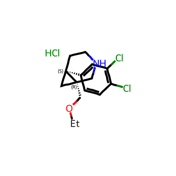 CCOC[C@@]12CNCC[C@]1(c1ccc(Cl)c(Cl)c1)C2.Cl